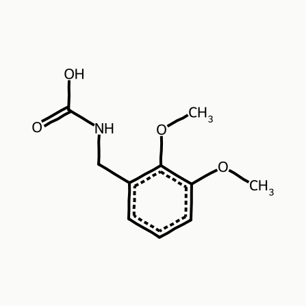 COc1cccc(CNC(=O)O)c1OC